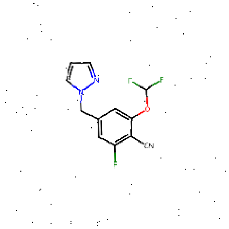 N#Cc1c(F)cc(Cn2cccn2)cc1OC(F)F